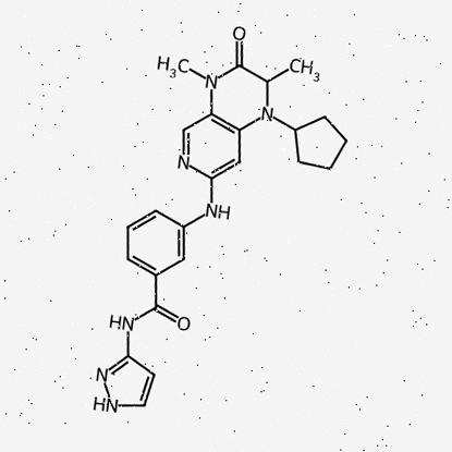 CC1C(=O)N(C)c2cnc(Nc3cccc(C(=O)Nc4cc[nH]n4)c3)cc2N1C1CCCC1